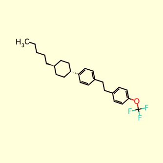 CCCCC[C@H]1CC[C@H](c2ccc(CCc3ccc(OC(F)(F)F)cc3)cc2)CC1